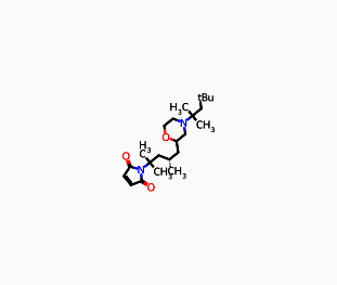 C[C@@H](CC1CN(C(C)(C)CC(C)(C)C)CCO1)CC(C)(C)N1C(=O)C=CC1=O